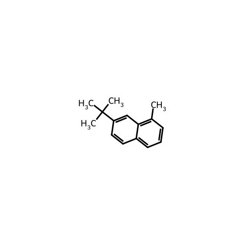 Cc1cccc2ccc(C(C)(C)C)cc12